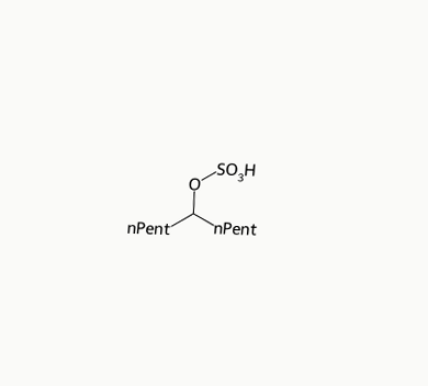 CCCCCC(CCCCC)OS(=O)(=O)O